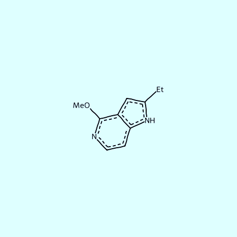 CCc1cc2c(OC)nccc2[nH]1